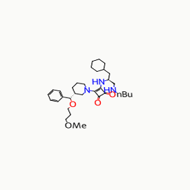 CCCCNC[C@H](CC1CCCCC1)Nc1c(N2CCC[C@@H](C(OCCCOC)c3ccccc3)C2)c(=O)c1=O